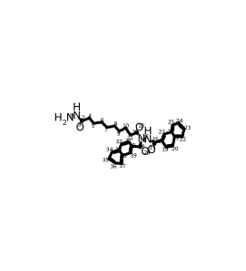 NNC(=O)CCCCCCCCC(=O)N(NC(=O)c1ccc2ccccc2c1)C(=O)c1ccc2ccccc2c1